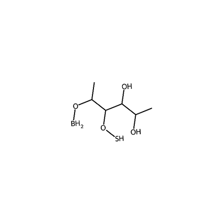 BOC(C)C(OS)C(O)C(C)O